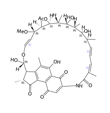 CO[C@H]1/C=C/O[C@@H](O)C2c3c(C)c(O)c4c(c3C(=O)[C@@H]2C)C(=O)C=C(NC(=O)/C(C)=C\C=C\[C@H](C)[C@H](O)[C@@H](C)[C@@H](O)[C@@H](C)[C@H](OC(C)=O)[C@@H]1C)C4=O